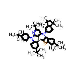 CC(C)(C)c1ccc(N2c3ccc(C(C)(C)C)cc3B3c4sc5cc(C(C)(C)C)ccc5c4N(c4ccc5c(c4)C(C)(C)CC5(C)C)c4cc(C(C)(C)C)nc2c43)cc1